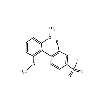 COc1cccc(OC)c1-c1ccc(S(=O)(=O)Cl)cc1F